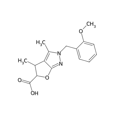 COc1ccccc1Cn1nc2c(c1C)C(C)C(C(=O)O)O2